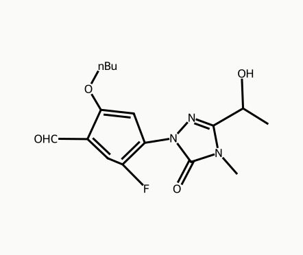 CCCCOc1cc(-n2nc(C(C)O)n(C)c2=O)c(F)cc1C=O